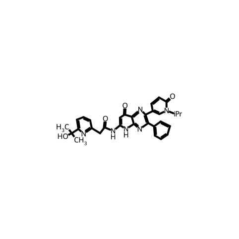 CC(C)n1cc(-c2nc3c(=O)cc(NC(=O)Cc4cccc(C(C)(C)O)n4)[nH]c3nc2-c2ccccc2)ccc1=O